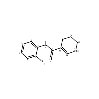 O=C(Nc1ccccc1F)C1=CNCCC1